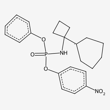 O=[N+]([O-])c1ccc(OP(=O)(NC2([C]3CCCCC3)CCC2)Oc2ccccc2)cc1